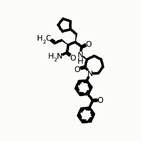 C=CC[C@H](C(N)=O)[C@@H](CC1CCCC1)C(=O)N[C@H]1CCCCN(c2cccc(C(=O)c3ccccc3)c2)C1=O